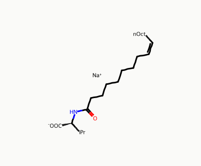 CCCCCCCC/C=C\CCCCCCCC(=O)N[C@H](C(=O)[O-])C(C)C.[Na+]